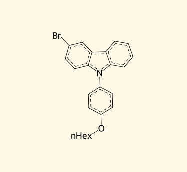 CCCCCCOc1ccc(-n2c3ccccc3c3cc(Br)ccc32)cc1